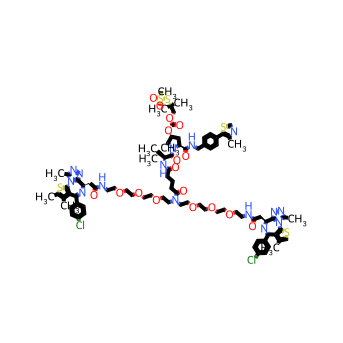 Cc1csc2c1C(c1ccc(Cl)cc1)=N[C@@H](CC(=O)NCCOCCOCCOCCN(CCOCCOCCOCCNC(=O)C[C@@H]1N=C(c3ccc(Cl)cc3)c3c(sc(C)c3C)-n3c(C)nnc31)C(=O)CCCC(=O)N[C@H](C(=O)N1C[C@H](OC(=O)OCC(C)(C)SS(C)(=O)=O)C[C@H]1C(=O)NCc1ccc(-c3scnc3C)cc1)C(C)(C)C)c1nnc(C)n1-2